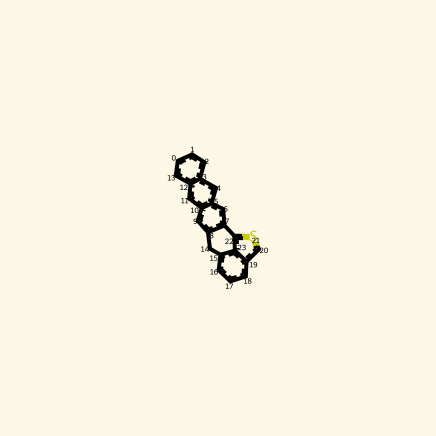 c1ccc2cc3cc4c(cc3cc2c1)Cc1cccc2csc-4c12